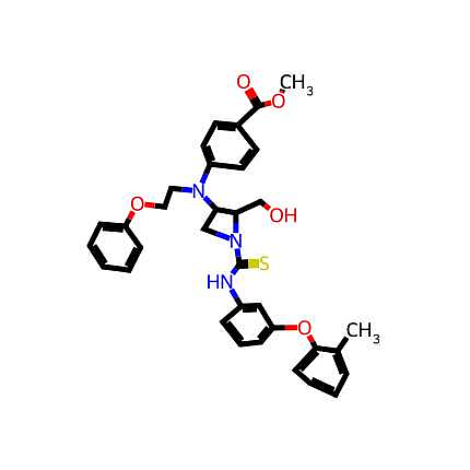 COC(=O)c1ccc(N(CCOc2ccccc2)C2CN(C(=S)Nc3cccc(Oc4ccccc4C)c3)C2CO)cc1